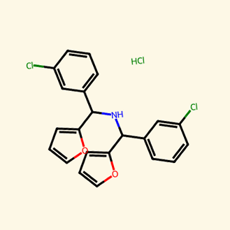 Cl.Clc1cccc(C(NC(c2cccc(Cl)c2)c2ccco2)c2ccco2)c1